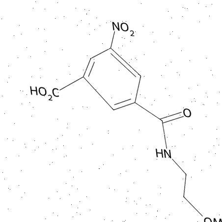 COCCNC(=O)c1cc(C(=O)O)cc([N+](=O)[O-])c1